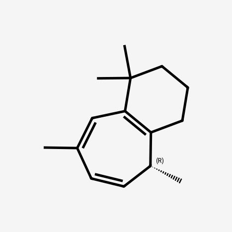 CC1=CC2=C(CCCC2(C)C)[C@H](C)C=C1